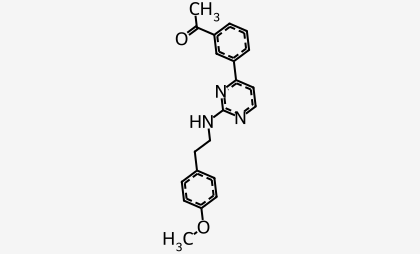 COc1ccc(CCNc2nccc(-c3cccc(C(C)=O)c3)n2)cc1